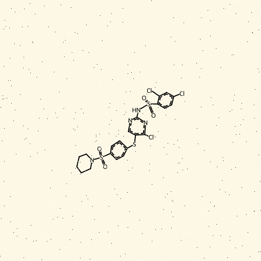 O=S(=O)(Nc1ncc(Sc2ccc(S(=O)(=O)N3CCCCC3)cc2)c(Cl)n1)c1ccc(Cl)cc1Cl